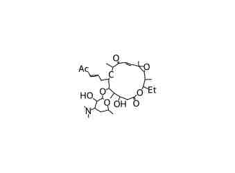 CCC1OC(=O)CC(O)C(C)C(OC2OC(C)CC(N(C)C)C2O)C(C/C=C/C(C)=O)CC(C)C(=O)/C=C/C2(C)OC2C1C